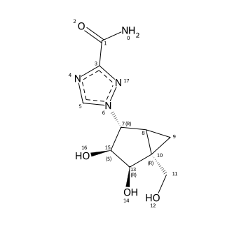 NC(=O)c1ncn([C@@H]2C3C[C@@]3(CO)[C@@H](O)[C@H]2O)n1